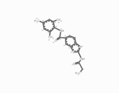 CCC(=O)Nc1nc2ccc(C(=O)Nc3c(C)cc(C)cc3C)cc2s1